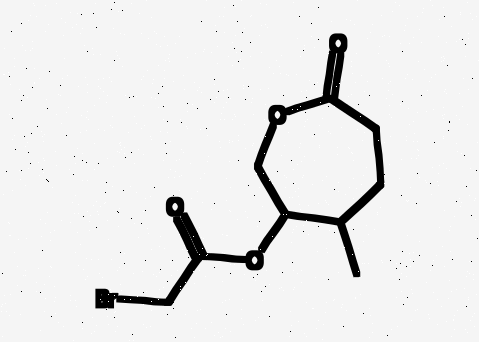 CC1CCC(=O)OCC1OC(=O)CBr